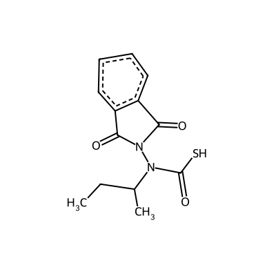 CCC(C)N(C(=O)S)N1C(=O)c2ccccc2C1=O